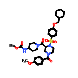 CC(C)(C)OC(=O)NC1CCN(C(=O)[C@@H]2CN(C(=O)c3ccc(OC(F)(F)F)cc3)CCN2S(=O)(=O)c2ccc(OCC3CCCCC3)cc2)CC1